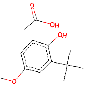 CC(=O)O.COc1ccc(O)c(C(C)(C)C)c1